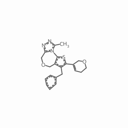 Cc1nnc2n1-c1sc(C3=CCCOC3)c(Cc3ccccc3)c1COC2